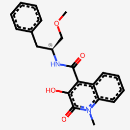 COC[C@H](Cc1ccccc1)NC(=O)c1c(O)c(=O)n(C)c2ccccc12